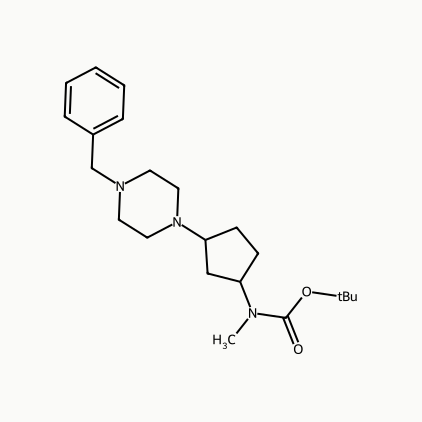 CN(C(=O)OC(C)(C)C)C1CCC(N2CCN(Cc3ccccc3)CC2)C1